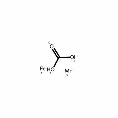 O=C(O)O.[Fe].[Mn]